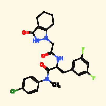 CN(C(=O)[C@H](Cc1cc(F)cc(F)c1)NC(=O)Cn1[nH]c(=O)c2c1CCCC2)c1ccc(Cl)cc1